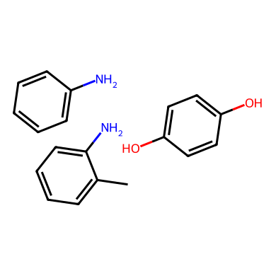 Cc1ccccc1N.Nc1ccccc1.Oc1ccc(O)cc1